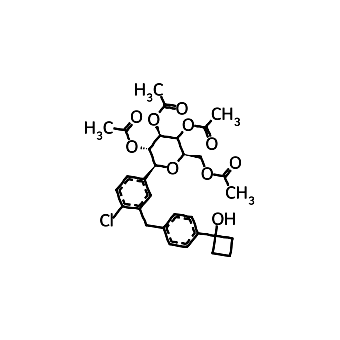 CC(=O)OC[C@H]1O[C@@H](c2ccc(Cl)c(Cc3ccc(C4(O)CCC4)cc3)c2)[C@H](OC(C)=O)[C@@H](OC(C)=O)C1OC(C)=O